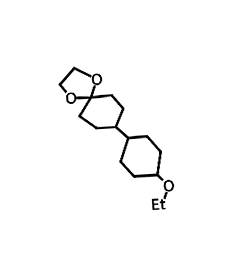 CCOC1CCC(C2CCC3(CC2)OCCO3)CC1